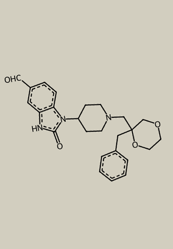 O=Cc1ccc2c(c1)[nH]c(=O)n2C1CCN(CC2(Cc3ccccc3)COCCO2)CC1